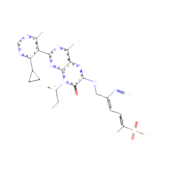 C=N/C(=C\C=C(/C)S(C)(=O)=O)CNc1nc2c(C)nc(-c3c(C)ncnc3C3CC3)nc2n([C@H](C)CC)c1=O